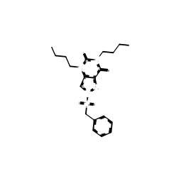 CCCCn1c(=O)c2nn(S(=O)(=O)Cc3ccccc3)cc2n(CCCC)c1=O